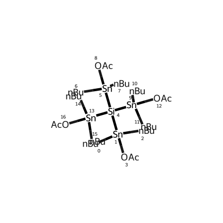 CCC[CH2][Sn]([CH2]CCC)([O]C(C)=O)[Si]([Sn]([CH2]CCC)([CH2]CCC)[O]C(C)=O)([Sn]([CH2]CCC)([CH2]CCC)[O]C(C)=O)[Sn]([CH2]CCC)([CH2]CCC)[O]C(C)=O